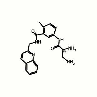 Cc1ccc(NC(=O)[C@@H](N)CN)cc1C(=O)NCc1ccc2ccccc2n1